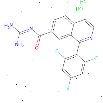 Cl.Cl.NC(N)=NC(=O)c1ccc2ccnc(-c3c(F)cc(F)cc3F)c2c1